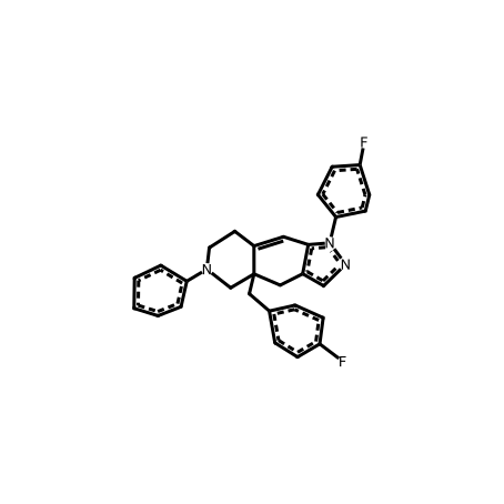 Fc1ccc(CC23Cc4cnn(-c5ccc(F)cc5)c4C=C2CCN(c2ccccc2)C3)cc1